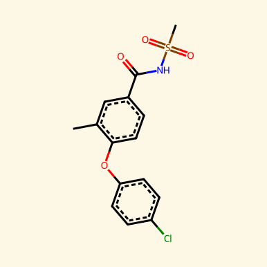 Cc1cc(C(=O)NS(C)(=O)=O)ccc1Oc1ccc(Cl)cc1